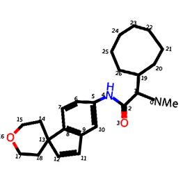 CNC(C(=O)Nc1ccc2c(c1)C=CC21CCOCC1)C1CCCCCCC1